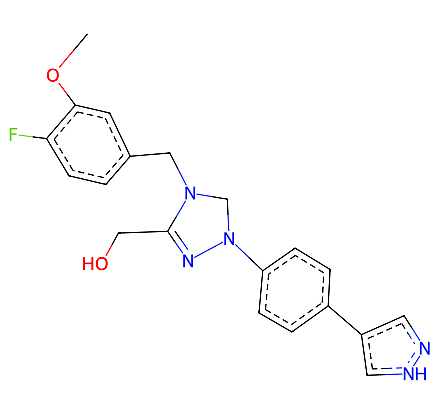 COc1cc(CN2CN(c3ccc(-c4cn[nH]c4)cc3)N=C2CO)ccc1F